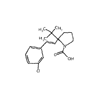 CC(C)(C)C1(C=Cc2cccc(Cl)c2)CCCN1C(=O)O